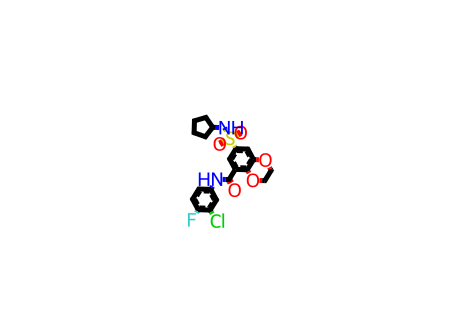 O=C(Nc1ccc(F)c(Cl)c1)c1cc(S(=O)(=O)NC2CCCC2)cc2c1OCCO2